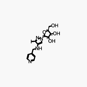 OC[C@@H]1O[C@@H](n2cc(NCc3ccncc3)c(I)n2)[C@H](O)[C@@H]1O